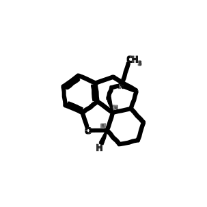 CN1CC[C@]23c4c5cccc4O[C@H]2CCCC3C1C5